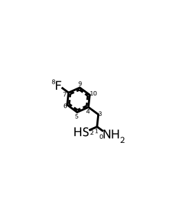 NC(S)Cc1ccc(F)cc1